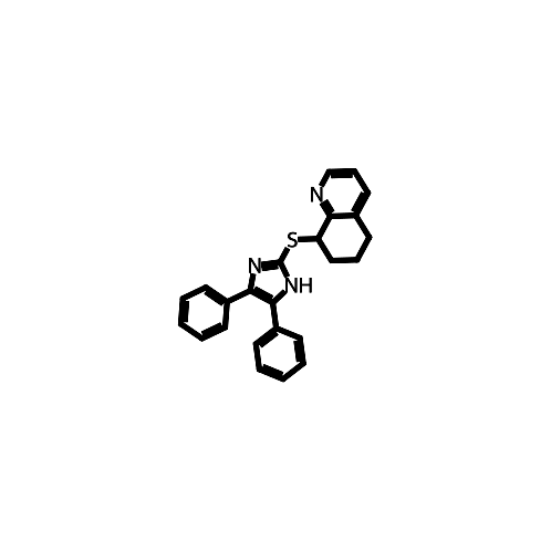 c1ccc(-c2nc(SC3CCCc4cccnc43)[nH]c2-c2ccccc2)cc1